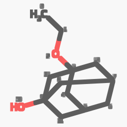 CCOC12CC3CC(CC(O)(C3)C1)C2